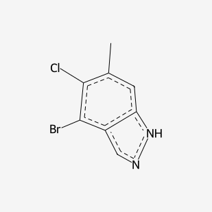 Cc1cc2[nH]ncc2c(Br)c1Cl